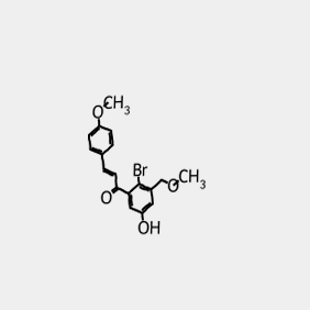 COCc1cc(O)cc(C(=O)/C=C/c2ccc(OC)cc2)c1Br